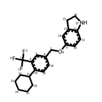 FC(F)(F)c1cc(COc2ccc3c(c2)CCN3)ccc1C1CCCCC1